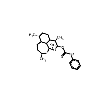 C[C@@H]1CCC2[C@@H](C)[C@@H](OC(=S)Nc3ccccc3)O[C@@H]3O[C@@H](C)CCC1[C@@]23O